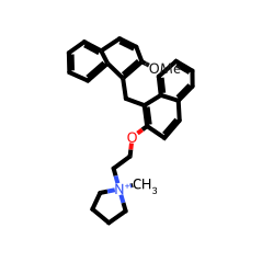 COc1ccc2ccccc2c1Cc1c(OCC[N+]2(C)CCCC2)ccc2ccccc12